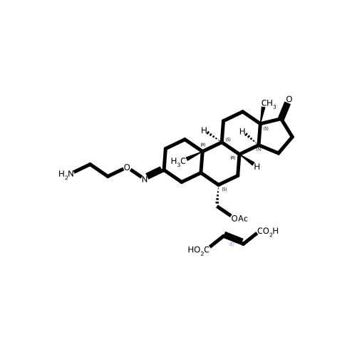 CC(=O)OC[C@H]1C[C@@H]2[C@H](CC[C@]3(C)C(=O)CC[C@@H]23)[C@@]2(C)CCC(=NOCCN)CC12.O=C(O)/C=C/C(=O)O